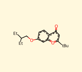 CCC(CC)COc1ccc2c(=O)cc(C(C)(C)C)oc2c1